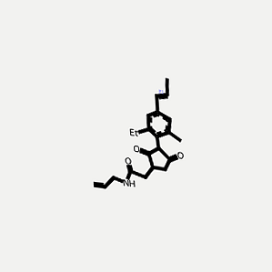 C=CCNC(=O)CC1CC(=O)C(c2c(C)cc(/C=C/C)cc2CC)C1=O